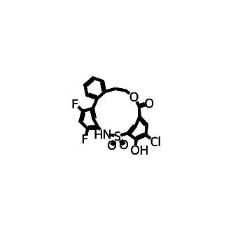 O=C1OCCc2ccccc2-c2cc(c(F)cc2F)NS(=O)(=O)c2cc1cc(Cl)c2O